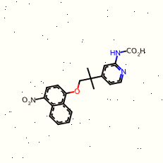 CC(C)(COc1ccc([N+](=O)[O-])c2ccccc12)c1ccnc(NC(=O)O)c1